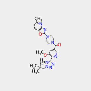 COc1cc(C(=O)N2CCN(c3nc4nc(C)ccc4o3)CC2)cnc1-c1nnn(CC(C)(C)C)n1